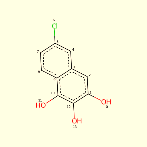 Oc1cc2cc(Cl)ccc2c(O)c1O